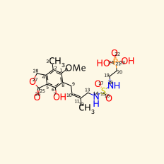 COc1c(C)c2c(c(O)c1CC=C(C)CNS(=O)(=O)NCCP(=O)(O)O)C(=O)OC2